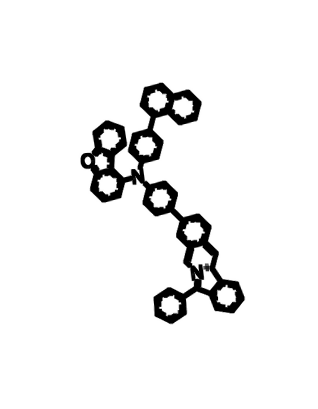 C1=c2ccc(-c3ccc(N(c4ccc(-c5cccc6ccccc56)cc4)c4cccc5oc6ccccc6c45)cc3)cc2=C[N+]2=C(c3ccccc3)c3ccccc3C12